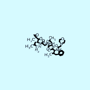 C=C(Cc1ccccc1)[C@H](NC(=O)CN1CCOCC1)C(=O)N[C@@H](CC(C)C)C(=O)NCC(=O)N[C@@H](CC(C)C)C(=O)[C@@]1(C)CO1